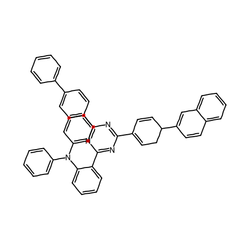 C1=CC(c2ccc3ccccc3c2)CC=C1c1nc(-c2ccc(-c3ccccc3)cc2)nc(-c2ccccc2N(c2ccccc2)c2ccccc2)n1